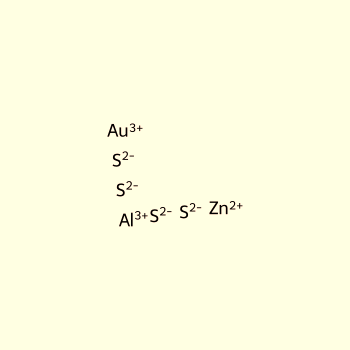 [Al+3].[Au+3].[S-2].[S-2].[S-2].[S-2].[Zn+2]